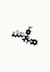 CC(C)c1c(C(=O)N2Cc3ccccc3C2)nn(-c2ccc(F)cc2)c1OC[C@@H](O)C[C@@H](O)CC(=O)[O-].[Na+]